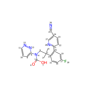 CC(C)(CN(C(=O)O)c1cccnn1)c1ccc(F)cc1-c1ccc(C#N)cn1